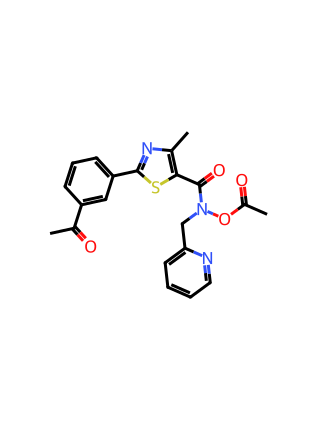 CC(=O)ON(Cc1ccccn1)C(=O)c1sc(-c2cccc(C(C)=O)c2)nc1C